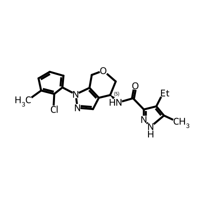 CCc1c(C(=O)N[C@@H]2COCc3c2cnn3-c2cccc(C)c2Cl)n[nH]c1C